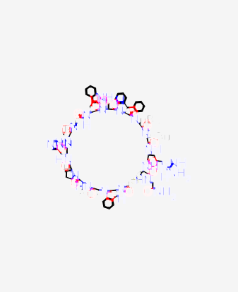 CCCC[C@H]1C(=O)N(C)[C@@H](CCCC)C(=O)NC(CCCNC(=N)N)C(=O)NC(C(=O)NCC(N)=O)CSCC(=O)N[C@@H](Cc2ccccc2)C(=O)N(C)[C@@H](C)C(=O)N[C@@H](CC(C)=O)C(=O)N2CCC[C@H]2C(=O)N[C@@H](Cc2cnc[nH]2)C(=O)N[C@@H](CC(C)C)C(=O)N(C)CC(=O)N[C@@H](Cc2c[nH]c3ccccc23)C(=O)NC(CO)C(=O)N[C@@H](C(c2ccccc2)c2ccccc2)C(=O)N1C